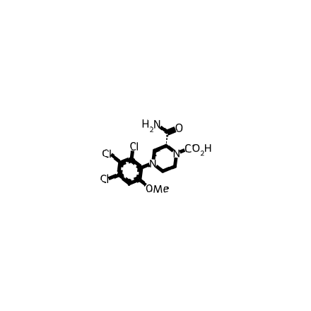 COc1cc(Cl)c(Cl)c(Cl)c1N1CCN(C(=O)O)[C@@H](C(N)=O)C1